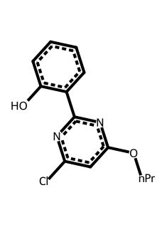 CCCOc1cc(Cl)nc(-c2ccccc2O)n1